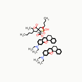 CCCCC(CC)CC(CC(CC)CCCC)(C(=O)[O-])C(C(=O)[O-])S(=O)(=O)O.CCN(CC)c1ccc2cc3c([o+]c2c1)-c1ccccc1CC3.CCN(CC)c1ccc2cc3c([o+]c2c1)-c1ccccc1CC3